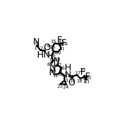 N#CCC(=O)N[C@H](c1cn2ncc([C@H](NC(=O)CCC(F)(F)F)C3CC3)cc2n1)C1CCC(F)(F)CC1